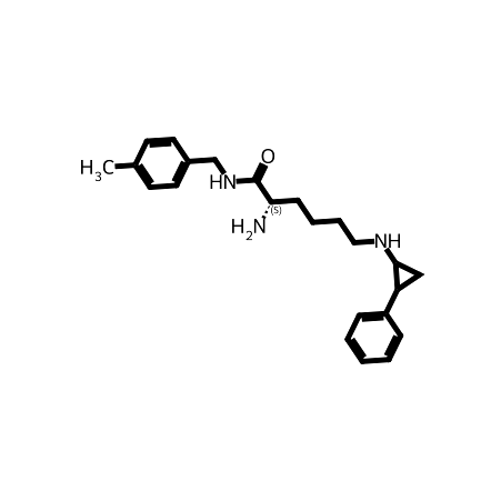 Cc1ccc(CNC(=O)[C@@H](N)CCCCNC2CC2c2ccccc2)cc1